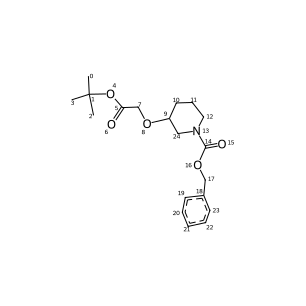 CC(C)(C)OC(=O)COC1CCCN(C(=O)OCc2ccccc2)C1